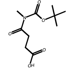 CN(C(=O)CCC(=O)O)C(=O)OC(C)(C)C